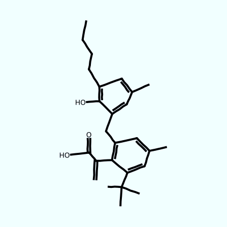 C=C(C(=O)O)c1c(Cc2cc(C)cc(CCCC)c2O)cc(C)cc1C(C)(C)C